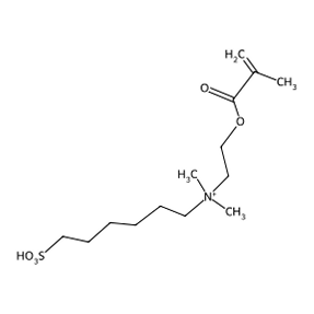 C=C(C)C(=O)OCC[N+](C)(C)CCCCCCS(=O)(=O)O